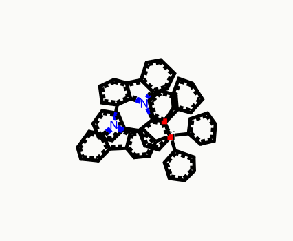 c1ccc(-c2cccc(-c3ccccc3)c2-n2c3ccccc3c3cccc(-n4c5ccccc5c5ccc([Si](c6ccccc6)(c6ccccc6)c6ccccc6)cc54)c32)cc1